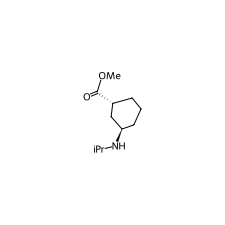 COC(=O)[C@@H]1CCC[C@@H](NC(C)C)C1